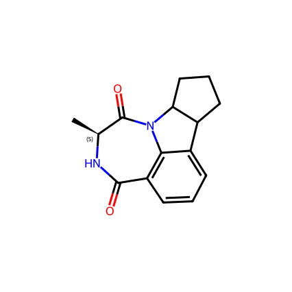 C[C@@H]1NC(=O)c2cccc3c2N(C1=O)C1CCCC31